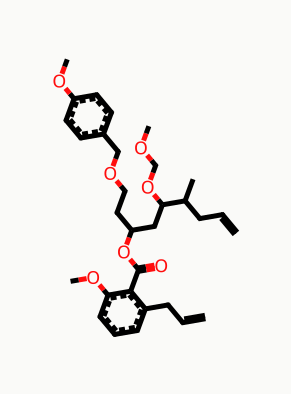 C=CCc1cccc(OC)c1C(=O)OC(CCOCc1ccc(OC)cc1)CC(OCOC)C(C)CC=C